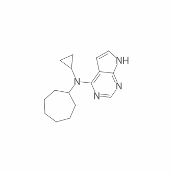 c1nc(N(C2CCCCCC2)C2CC2)c2cc[nH]c2n1